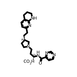 O=C(N[C@@H](CCN1CC[C@@H](CCc2ccc3c(n2)NCCC3)C1)C(=O)O)c1ccncn1